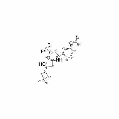 CC1(C)CC(C(O)CC(=O)NC(COC(F)F)c2cccc(OC(F)F)c2)C1